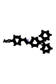 CC(=O)Oc1ccc(/C=C/c2ccc(N(c3ccccc3)c3ccccc3)cc2)cc1